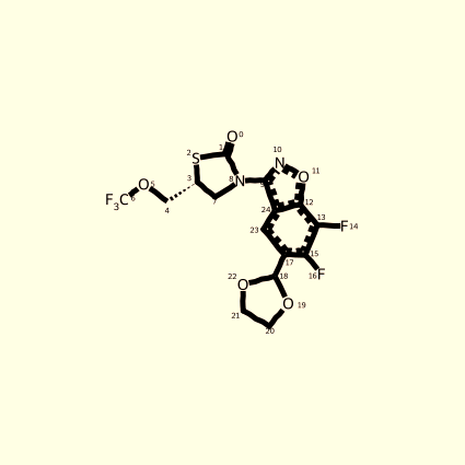 O=C1S[C@@H](COC(F)(F)F)CN1c1noc2c(F)c(F)c(C3OCCO3)cc12